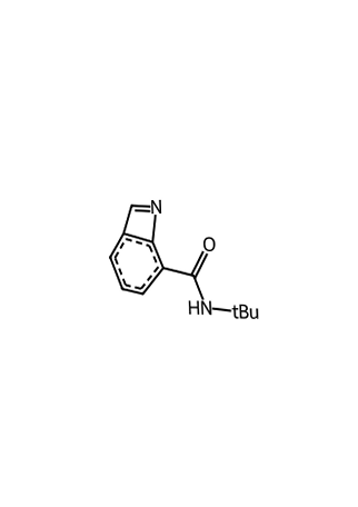 CC(C)(C)NC(=O)c1cccc2c1N=C2